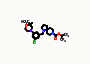 CC1(C(=O)O)CN(c2cc(Cl)cc(CN3CCCC34CCN(C(=O)OC(C(F)(F)F)C(F)(F)F)CC4)c2)CCO1